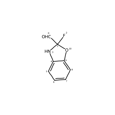 O=CC1(F)Nc2ccccc2O1